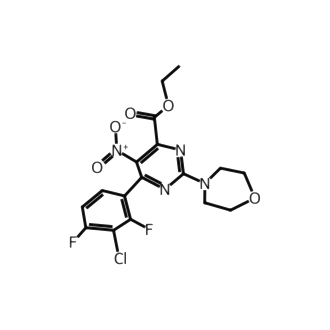 CCOC(=O)c1nc(N2CCOCC2)nc(-c2ccc(F)c(Cl)c2F)c1[N+](=O)[O-]